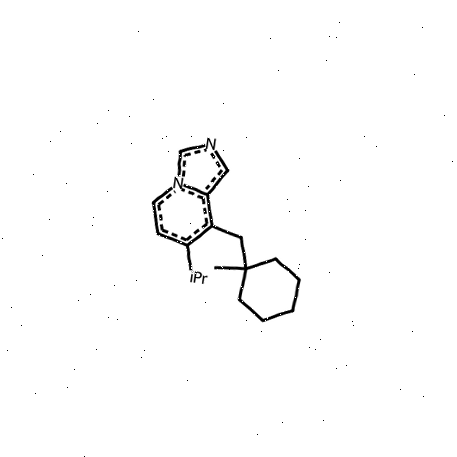 CC(C)c1ccn2cncc2c1CC1(C)CCCCC1